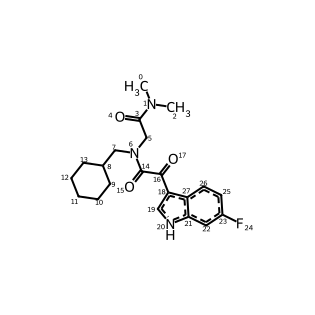 CN(C)C(=O)CN(CC1CCCCC1)C(=O)C(=O)c1c[nH]c2cc(F)ccc12